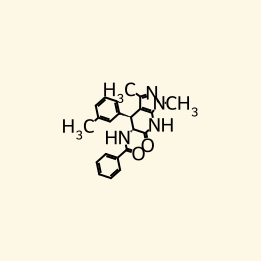 Cc1cccc([C@H]2c3c(C)nn(C)c3NC(=O)[C@@H]2NC(=O)c2ccccc2)c1